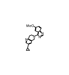 COc1ccc2ncnc(N3CCc4ncc(C5CC5)cc4C3)c2c1